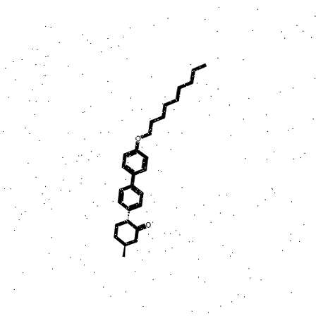 CCCCCCCCCOc1ccc(-c2ccc([C@H]3CC[C@H](C)CC3=O)cc2)cc1